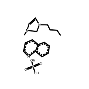 CCCCN1C=CN(C)C1.O=S(=O)(O)O.c1ccc2ncccc2c1